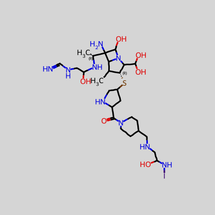 CC1C2N(C(C(O)O)[C@@H]1SC1CNC(C(=O)N3CCC(CNCC(O)NI)CC3)C1)C(O)C2(N)[C@@H](C)NC(O)CNC=N